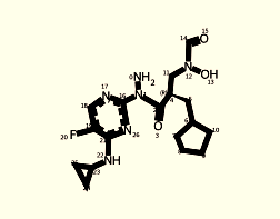 NN(C(=O)[C@H](CC1CCCC1)CN(O)C=O)c1ncc(F)c(NC2CC2)n1